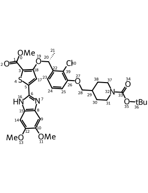 COC(=O)c1sc(-c2nc3cc(OC)c(OC)cc3[nH]2)cc1O[C@H](C)c1cccc(OCC2CCN(C(=O)OC(C)(C)C)CC2)c1Cl